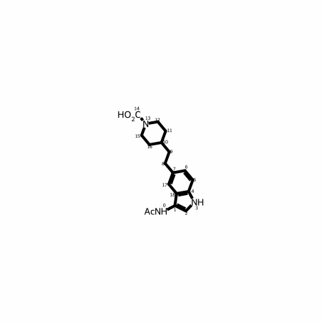 CC(=O)Nc1c[nH]c2ccc(CCC3CCN(C(=O)O)CC3)cc12